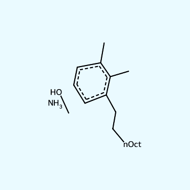 CCCCCCCCCCc1cccc(C)c1C.CO.N